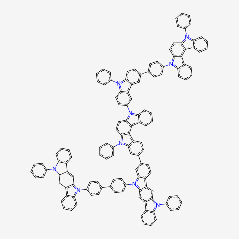 C1=C2c3ccccc3N(c3ccccc3)C2Cc2c1n(-c1ccc(-c3ccc(-n4c5cc(-c6ccc7c8c9c%10ccccc%10n(-c%10ccc%11c(c%10)c%10cc(-c%12ccc(-n%13c%14ccccc%14c%14c%15c%16ccccc%16n(-c%16ccccc%16)c%15ccc%14%13)cc%12)ccc%10n%11-c%10ccccc%10)c9ccc8n(-c8ccccc8)c7c6)ccc5c5cc6c(cc54)c4ccccc4n6-c4ccccc4)cc3)cc1)c1ccccc21